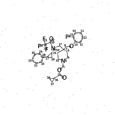 O=C(OCN1CCC(COc2ccccc2F)(CN(C(=O)C(F)(F)F)[C@@H]2C[C@H]2c2ccccc2)CC1)C1CC1